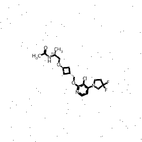 CC(=O)N[C@@H](C)CO[C@H]1C[C@H](COc2nccc(N3CCC(F)(F)C3)c2Cl)C1